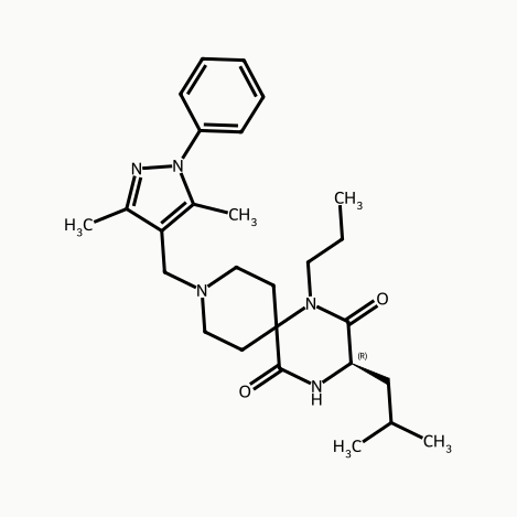 CCCN1C(=O)[C@@H](CC(C)C)NC(=O)C12CCN(Cc1c(C)nn(-c3ccccc3)c1C)CC2